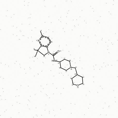 Cc1ccc2c(n1)C(C)(C)CN2C(=O)NC1CCN(CC2CCOCC2)CC1